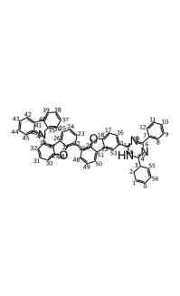 C1=CCC(C2=NC(c3ccccc3)=NC(c3ccc4oc5c(-c6cccc7c6oc6cccc(-n8c9ccccc9c9ccccc98)c67)cccc5c4c3)N2)C=C1